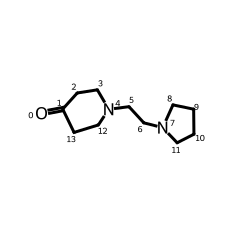 O=C1CCN(CCN2CCCC2)CC1